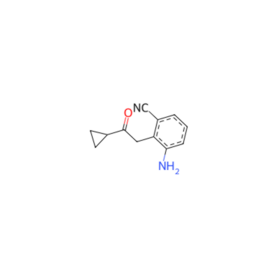 N#Cc1cccc(N)c1CC(=O)C1CC1